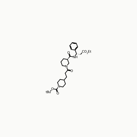 CCOC(=O)C[C@H](NC(=O)[C@@H]1CCCN(C(=O)CCC2CCN(C(=O)OC(C)(C)C)CC2)C1)c1ccccc1